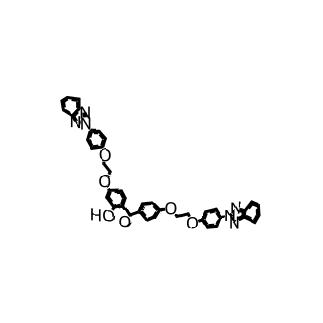 O=C(c1ccc(OCCOc2ccc(-n3nc4ccccc4n3)cc2)cc1)c1ccc(OCCOc2ccc(-n3nc4ccccc4n3)cc2)cc1O